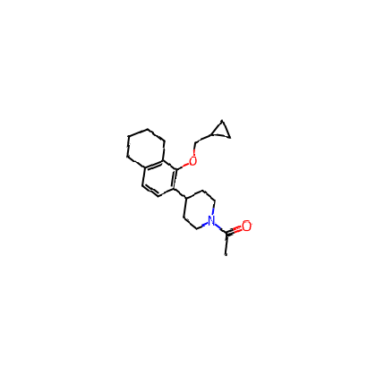 CC(=O)N1CCC(c2ccc3c(c2OCC2CC2)CCCC3)CC1